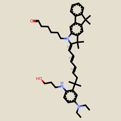 CCN(CC)c1ccc(NCCCO)c(C(C)(C)C/C=C/C=C/C=C2/N(CCCCCC=O)c3cc4c(cc3C2(C)C)C(C)(C)c2ccccc2-4)c1